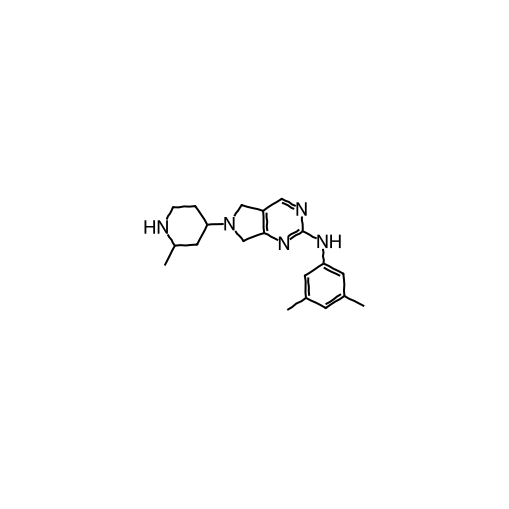 Cc1cc(C)cc(Nc2ncc3c(n2)CN(C2CCNC(C)C2)C3)c1